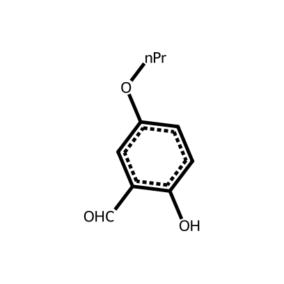 CCCOc1ccc(O)c(C=O)c1